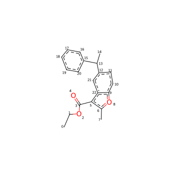 CCOC(=O)c1c(C)oc2ccc(C(C)c3ccccc3)cc12